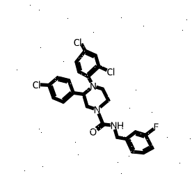 O=C(NCc1cccc(F)c1)N1CCN(c2ccc(Cl)cc2Cl)C(c2ccc(Cl)cc2)C1